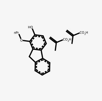 C=C(C)C(=O)O.C=C(C)C(=O)O.CCCOc1c(O)ccc2c1Cc1ccccc1-2